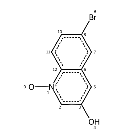 [O-][n+]1cc(O)cc2cc(Br)ccc21